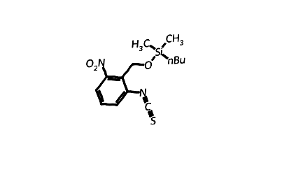 CCCC[Si](C)(C)OCc1c(N=C=S)cccc1[N+](=O)[O-]